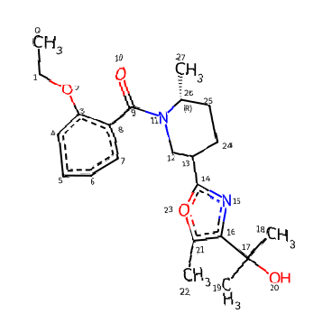 CCOc1ccccc1C(=O)N1CC(c2nc(C(C)(C)O)c(C)o2)CC[C@H]1C